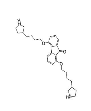 O=C1c2cccc(OCCCCC3CCNC3)c2-c2cccc(OCCCCC3CCNC3)c21